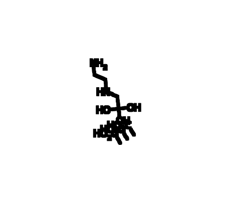 CC(=O)O.CC(=O)O.CC(=O)O.NCCNCC(O)(O)O